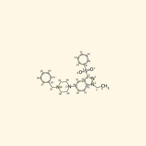 CCn1nc(S(=O)(=O)c2ccccc2)c2cc(N3CCN(Cc4ccccc4)CC3)ccc21